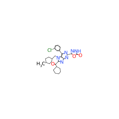 CC1CCC(Cn2c(C(=O)C3CCCCC3)nc3nc(-c4n[nH]c(=O)o4)nc(-c4cccc(Cl)c4)c32)CC1